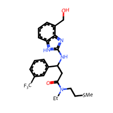 CCN(CCSC)C(=O)CC(Nc1nc2c(CO)cccc2[nH]1)c1cccc(C(F)(F)F)c1